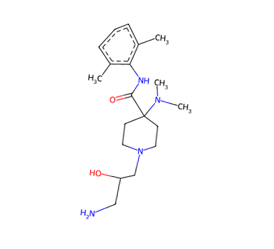 Cc1cccc(C)c1NC(=O)C1(N(C)C)CCN(CC(O)CN)CC1